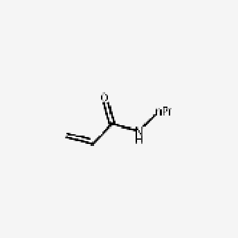 C=CC(=O)NCCC